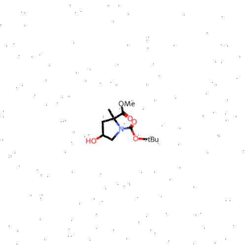 COC(=O)C1(C)CC(O)CN1C(=O)OC(C)(C)C